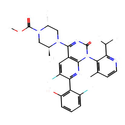 Cc1ccnc(C(C)C(F)(F)F)c1-n1c(=O)nc(N2C[C@@H](C)N(C(=O)OC(C)(C)C)C[C@@H]2C)c2cc(F)c(-c3c(O)cccc3F)nc21